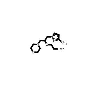 COCCOC(CN1CCOCC1)Cn1ccc(C)n1